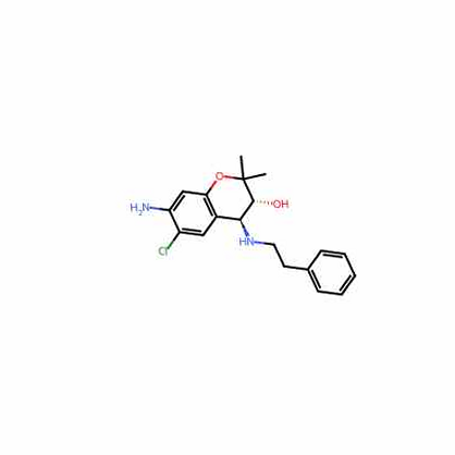 CC1(C)Oc2cc(N)c(Cl)cc2[C@H](NCCc2ccccc2)[C@H]1O